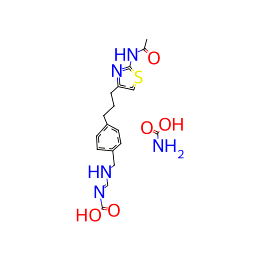 CC(=O)Nc1nc(CCCc2ccc(CNC=NC(=O)O)cc2)cs1.NC(=O)O